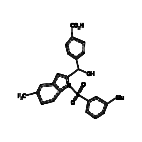 CC(C)(C)c1cccc(S(=O)(=O)n2c(C(O)c3ccc(C(=O)O)cc3)cc3cc(C(F)(F)F)ccc32)c1